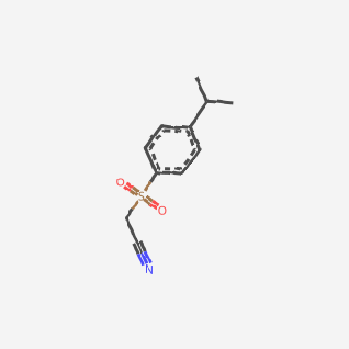 CC(C)c1ccc(S(=O)(=O)CC#N)cc1